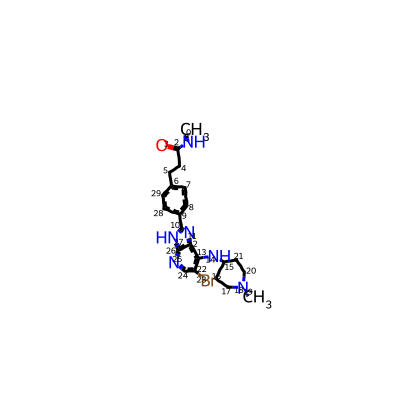 CNC(=O)CCc1ccc(-c2nc3c(NC4CCN(C)CC4)c(Br)cnc3[nH]2)cc1